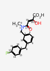 CN(Cc1cccc(Cc2ccc(F)cc2)c1)C(=O)C=C(O)C(=O)O